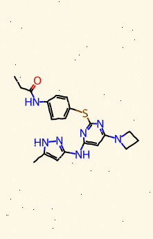 CCC(=O)Nc1ccc(Sc2nc(Nc3cc(C)[nH]n3)cc(N3CCC3)n2)cc1